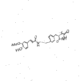 COc1cc(C=CC(=O)NCCc2ccc(C[C@H]3SC(=O)NC3=O)cc2)ccc1O